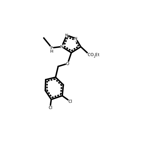 CCOC(=O)c1nnn(PC)c1OCc1ccc(Cl)c(Cl)c1